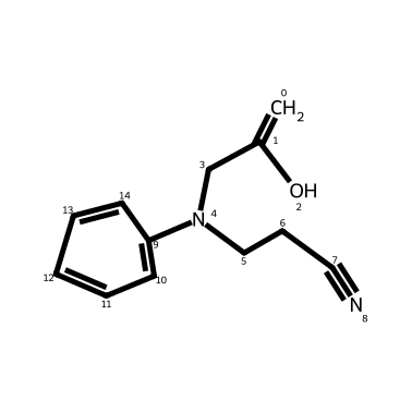 C=C(O)CN(CCC#N)c1ccccc1